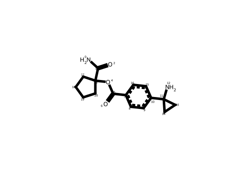 NC(=O)C1(OC(=O)c2ccc(C3(N)CC3)cc2)CCCC1